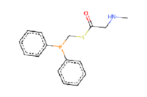 CNCC(=O)SCP(c1ccccc1)c1ccccc1